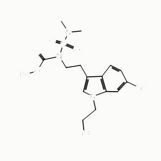 CN(C)S(=O)(=O)N(CCc1cn(CCC(F)(F)F)c2cc(Br)ccc12)C(=O)OC(C)(C)C